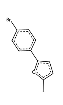 [CH2]c1ccc(-c2ccc(Br)cc2)o1